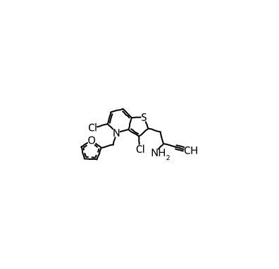 C#CC(N)CC1SC2=CC=C(Cl)N(Cc3ccco3)C2=C1Cl